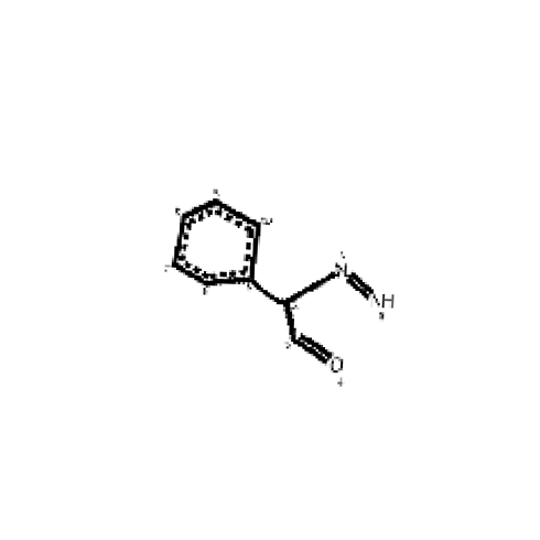 N=NC(C=O)c1ccccc1